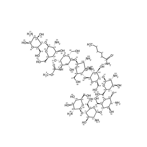 CCCCCC(N)=O.COC(=O)N[C@H]1[C@H](O[C@H]2[C@H](O)[C@@H](N)[C@H](O[C@H]3[C@H](O)[C@@H](N)[C@H](O)O[C@@H]3CO)O[C@@H]2CO)O[C@H](CO)[C@@H](O[C@@H]2O[C@H](CO)[C@@H](O[C@@H]3O[C@H](CO)[C@@H](O[C@@H]4O[C@H](CO)[C@@H](O[C@@H]5O[C@H](CO)[C@@H](O[C@@H]6O[C@H](CO)[C@@H](O[C@@H]7O[C@H](CO)[C@@H](O)[C@H](O)[C@H]7N)[C@H](O)[C@H]6N)[C@H](O)[C@H]5N)[C@H](O)[C@H]4N)[C@H](O)[C@H]3N)[C@H](O)[C@H]2N)[C@@H]1O